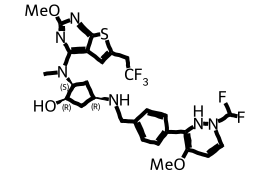 COC1=C(c2ccc(CN[C@H]3C[C@@H](O)[C@@H](N(C)c4nc(OC)nc5sc(CC(F)(F)F)cc45)C3)cc2)NN(C(F)F)C=C1